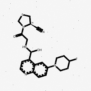 N#C[C@@H]1CSCN1C(=O)CNC(O)c1ccnc2ccc(N3CCC(F)CC3)cc12